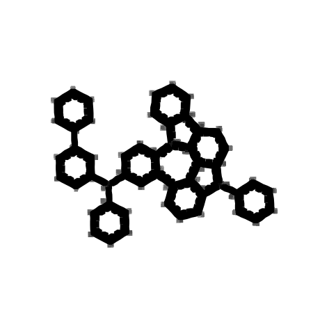 c1ccc(-c2cccc(N(c3ccccc3)c3ccc4c(c3)c3cccc5c3c3c(ccc6c7ccccc7n4c63)n5-c3ccccc3)c2)cc1